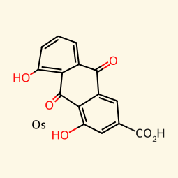 O=C(O)c1cc(O)c2c(c1)C(=O)c1cccc(O)c1C2=O.[Os]